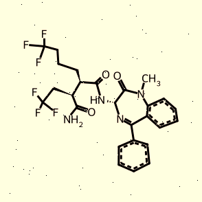 CN1C(=O)[C@@H](NC(=O)[C@H](CCCC(F)(F)F)[C@H](CC(F)(F)F)C(N)=O)N=C(c2ccccc2)c2ccccc21